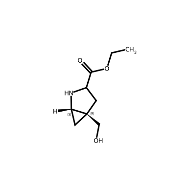 CCOC(=O)C1C[C@]2(CO)C[C@@H]2N1